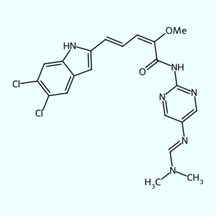 COC(=CC=Cc1cc2cc(Cl)c(Cl)cc2[nH]1)C(=O)Nc1ncc(N=CN(C)C)cn1